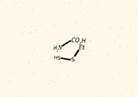 CCSS.NC(=O)O